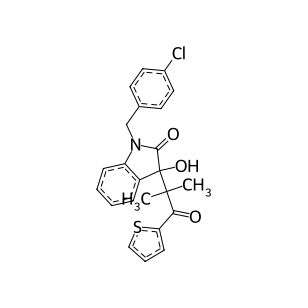 CC(C)(C(=O)c1cccs1)C1(O)C(=O)N(Cc2ccc(Cl)cc2)c2ccccc21